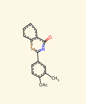 CC(=O)Oc1ccc(-c2nc(=O)c3ccccc3s2)cc1C